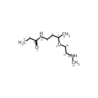 CCC(=O)NCCC(C)OCCNC